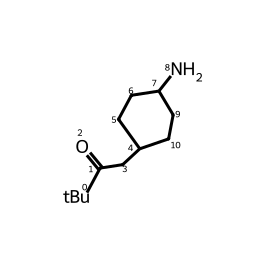 CC(C)(C)C(=O)CC1CCC(N)CC1